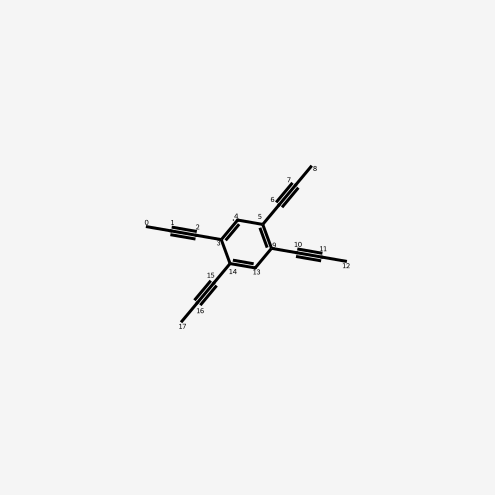 CC#Cc1[c]c(C#CC)c(C#CC)cc1C#CC